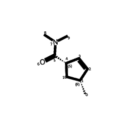 C[C@H]1C=C[C@@H](C(=O)N(C)C)C1